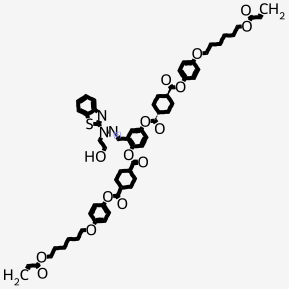 C=CC(=O)OCCCCCCOc1ccc(OC(=O)C2CCC(C(=O)Oc3ccc(OC(=O)[C@H]4CC[C@H](C(=O)Oc5ccc(OCCCCCCOC(=O)C=C)cc5)CC4)cc3/C=N/N(CCO)c3nc4ccccc4s3)CC2)cc1